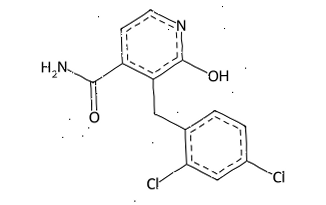 NC(=O)c1ccnc(O)c1Cc1ccc(Cl)cc1Cl